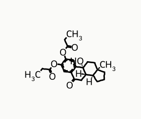 CCC(=O)Oc1cc2c(cc1OC(=O)CC)[C@@]1(O)CC[C@]3(C)CCC[C@H]3[C@@H]1CC2=O